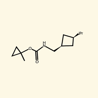 CC(C)[C@H]1C[C@@H](CNC(=O)OC2(C)CC2)C1